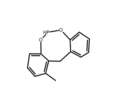 Cc1cccc2c1Cc1ccccc1OPO2